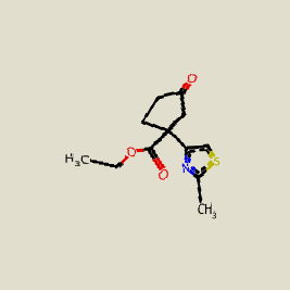 CCOC(=O)C1(c2csc(C)n2)CCC(=O)C1